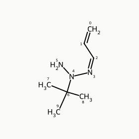 C=C/C=N\N(N)C(C)(C)C